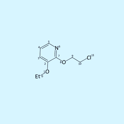 CCOc1cccnc1OCCCl